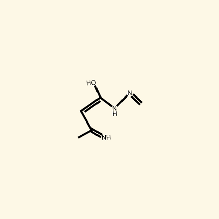 C=NN/C(O)=C\C(C)=N